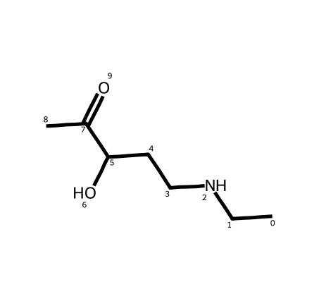 CCNCCC(O)C(C)=O